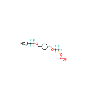 O=S(=O)(O)C(F)(F)C(F)(F)OCC1CCC(COC(F)(F)C(F)(F)SOOO)CC1